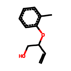 C=CC(CO)Oc1ccccc1C